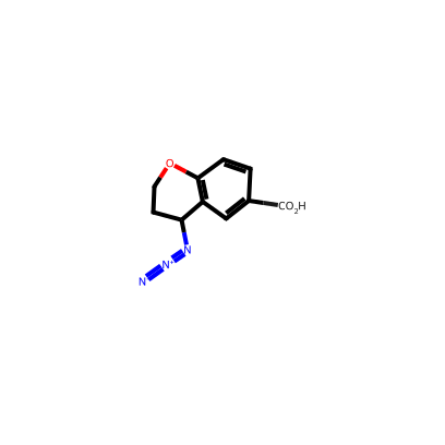 [N-]=[N+]=NC1CCOc2ccc(C(=O)O)cc21